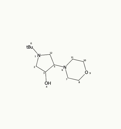 CC(C)(C)N1CC(O)C(N2CCOCC2)C1